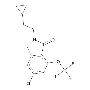 O=C1c2c(cc(Cl)cc2OC(F)(F)F)CN1CCC1CC1